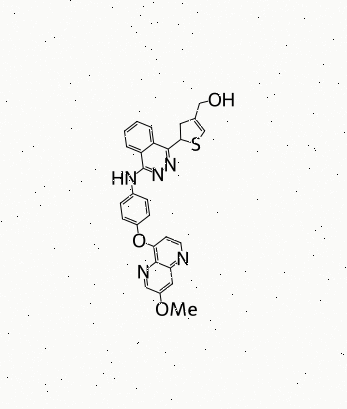 COc1cnc2c(Oc3ccc(Nc4nnc(C5CC(CO)=CS5)c5ccccc45)cc3)ccnc2c1